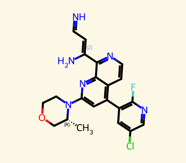 C[C@@H]1COCCN1c1cc(-c2cc(Cl)cnc2F)c2ccnc(/C(N)=C/C=N)c2n1